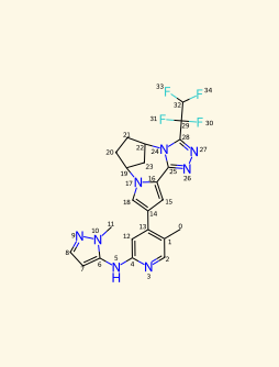 Cc1cnc(Nc2ccnn2C)cc1-c1cc2n(c1)C1CCC(C1)n1c-2nnc1C(F)(F)C(F)F